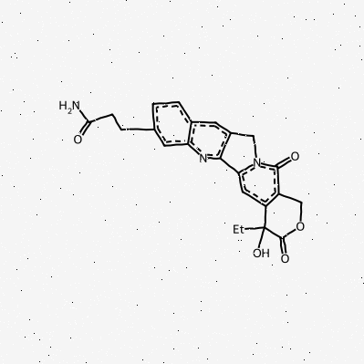 CCC1(O)C(=O)OCc2c1cc1n(c2=O)Cc2cc3ccc(CCC(N)=O)cc3nc2-1